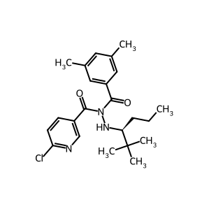 CCC[C@H](NN(C(=O)c1ccc(Cl)nc1)C(=O)c1cc(C)cc(C)c1)C(C)(C)C